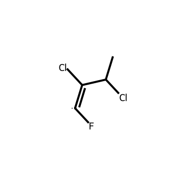 CC(Cl)/C(Cl)=[C]\F